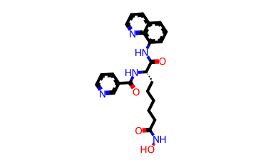 O=C(CCCCC[C@H](NC(=O)c1cccnc1)C(=O)Nc1cccc2cccnc12)NO